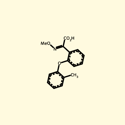 CON=C(C(=O)O)c1ccccc1Oc1ccccc1C